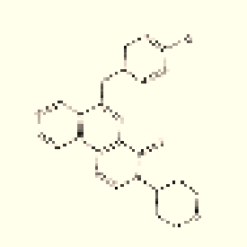 O=c1c2cc(CC3C=NC(Cl)=CC3)c3cnccc3c2ncn1C1CCOCC1